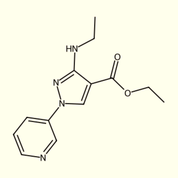 CCNc1nn(-c2cccnc2)cc1C(=O)OCC